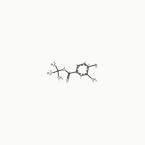 Cc1nc(C(=O)OC(C)(C)C)ccc1Br